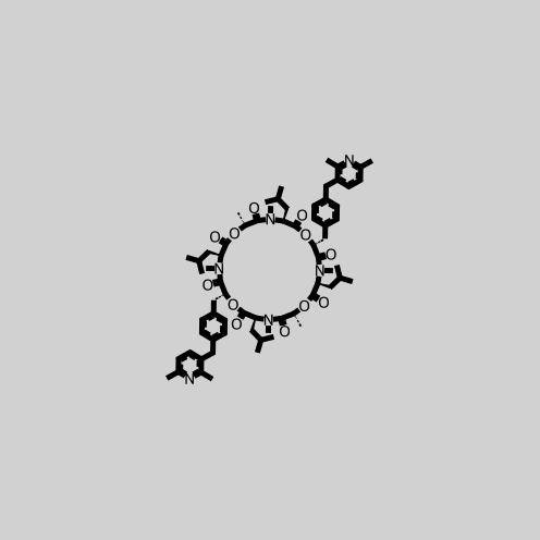 Cc1ccc(Cc2ccc(C[C@H]3OC(=O)[C@H](CC(C)C)N(C)C(=O)[C@@H](C)OC(=O)[C@H](CC(C)C)N(C)C(=O)[C@@H](Cc4ccc(Cc5ccc(C)nc5C)cc4)OC(=O)[C@H](CC(C)C)N(C)C(=O)[C@@H](C)OC(=O)[C@H](CC(C)C)N(C)C3=O)cc2)c(C)n1